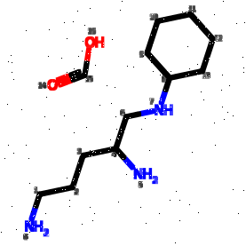 NCCCC(N)CNC1CCCCC1.O=CO